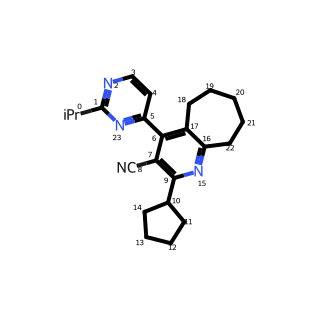 CC(C)c1nccc(-c2c(C#N)c(C3CCCC3)nc3c2CCCCC3)n1